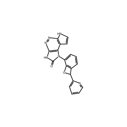 O=c1[nH]c2nnc3[nH]ccc3c2n1-c1cccc2c1OC2c1ccccn1